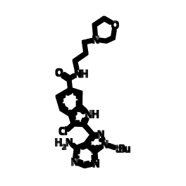 CC(C)(C)n1nc(-c2[nH]c3cc(C(=O)NCCCN4CCOCC4)ccc3c2Cl)c2c(N)ncnc21